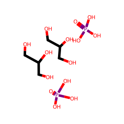 O=P(O)(O)O.O=P(O)(O)O.OCC(O)CO.OCC(O)CO